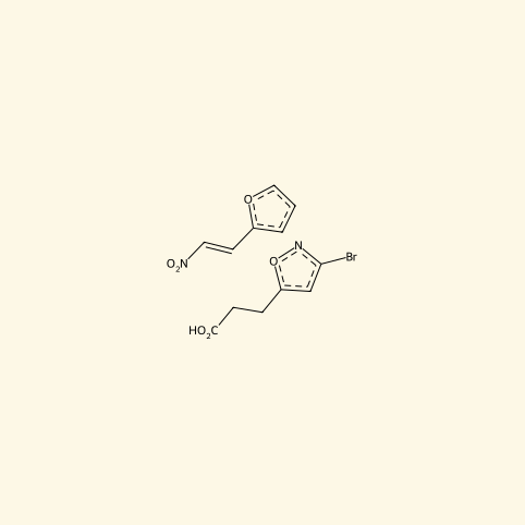 O=C(O)CCc1cc(Br)no1.O=[N+]([O-])C=Cc1ccco1